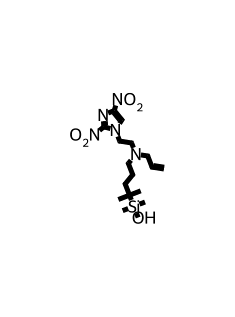 C=CCN(CCCC(C)(C)[Si](C)(C)O)CCn1cc([N+](=O)[O-])nc1[N+](=O)[O-]